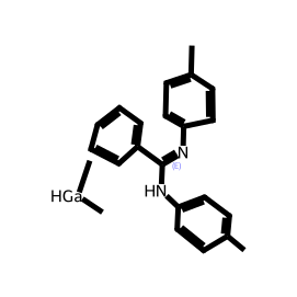 Cc1ccc(/N=C(/Nc2ccc(C)cc2)c2ccccc2)cc1.[CH3][GaH][CH3]